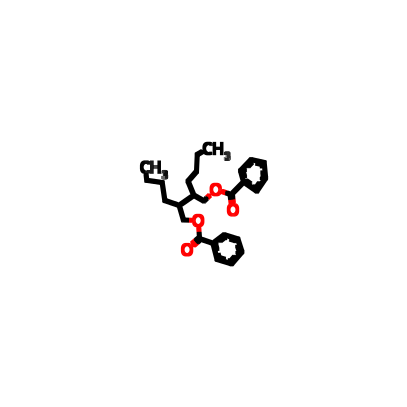 CCCCC(COC(=O)c1ccccc1)C(CCCC)COC(=O)c1ccccc1